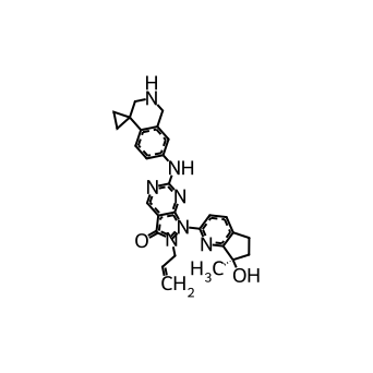 C=CCn1c(=O)c2cnc(Nc3ccc4c(c3)CNCC43CC3)nc2n1-c1ccc2c(n1)[C@](C)(O)CC2